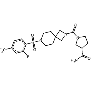 NC(=O)[C@H]1CCN(C(=O)N2CC3(CCN(S(=O)(=O)c4ccc(C(F)(F)F)cc4F)CC3)C2)C1